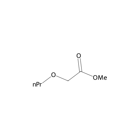 CCCOCC(=O)OC